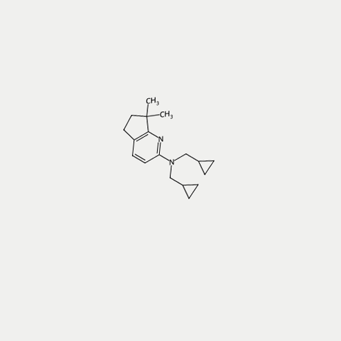 CC1(C)CCc2ccc(N(CC3CC3)CC3CC3)nc21